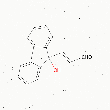 O=CC=CC1(O)c2ccccc2-c2ccccc21